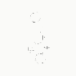 CN=C(N[CH]Cc1ccccc1)Nc1ccccc1